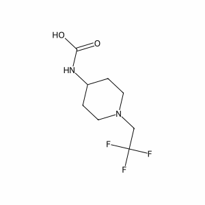 O=C(O)NC1CCN(CC(F)(F)F)CC1